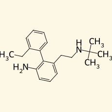 CCc1ccccc1-c1c(N)cccc1CCNC(C)(C)C